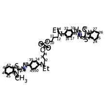 CCN(CCCOS(=O)(=O)OCCCN(CC)c1ccc(/N=N/c2sc3ccccc3[n+]2C)cc1)c1ccc(/N=N/c2sc3ccccc3[n+]2C)cc1